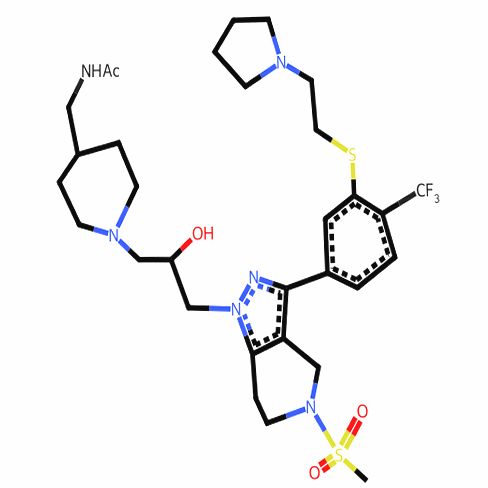 CC(=O)NCC1CCN(CC(O)Cn2nc(-c3ccc(C(F)(F)F)c(SCCN4CCCC4)c3)c3c2CCN(S(C)(=O)=O)C3)CC1